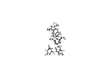 C[C@]1(c2ccc(C(F)(F)F)c(O)c2)C(=O)Nc2nc(-c3cn4ccnc4c(Cc4cc(F)cc(F)c4)n3)nc(N)c21